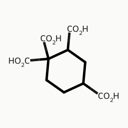 O=C(O)C1CCC(C(=O)O)(C(=O)O)C(C(=O)O)C1